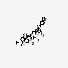 CC1=C(/C=C/C(C)=C/C=C/C(C)=C/C(=O)OCc2ccc(Br)cc2)C(C)(C)CCC1